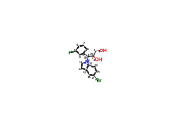 OC[C@@H](O)[C@H](c1cccc(F)c1)n1ccc2cc(Br)ccc21